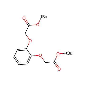 CC(C)(C)OC(=O)COc1ccccc1OCC(=O)OC(C)(C)C